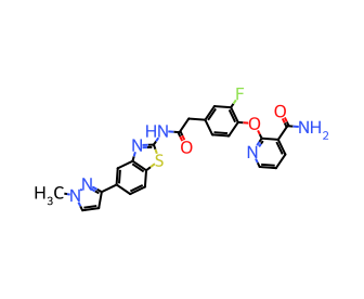 Cn1ccc(-c2ccc3sc(NC(=O)Cc4ccc(Oc5ncccc5C(N)=O)c(F)c4)nc3c2)n1